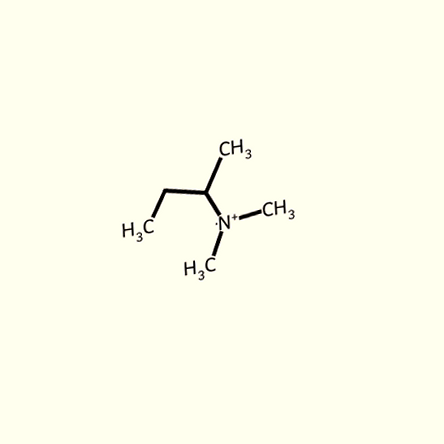 CCC(C)[N+](C)C